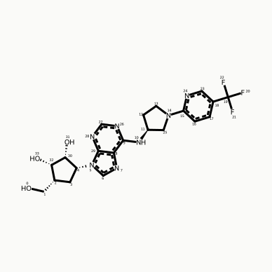 OC[C@H]1C[C@@H](n2cnc3c(N[C@H]4CCN(c5ccc(C(F)(F)F)cn5)C4)ncnc32)[C@@H](O)[C@H]1O